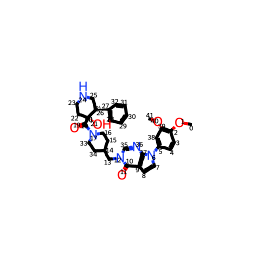 COc1ccc(-n2ccc3c(=O)n(CC4CCN(C(=O)[C@@]5(O)CCNC[C@H]5c5ccccc5)CC4)cnc32)cc1OC